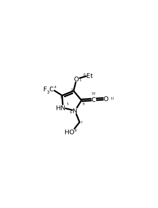 CCOC1=C(C(F)(F)F)NN(CO)C1=C=O